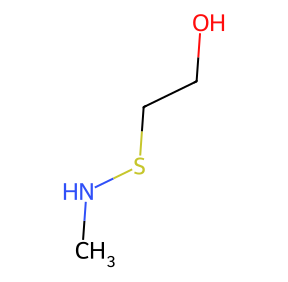 CNSCCO